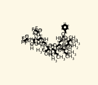 CC[C@H](C)[C@H](NC(=O)[C@@H](CCNC(=O)OCc1ccccc1)NC(=O)[C@H](CC(C)C)NC(=O)[C@@H](N)[C@H](O)C(C)C)C(=O)N[C@H](C(=O)NCC(=O)N[C@@H](COC(=O)C(F)(F)F)C(=O)N[C@@H](COC(=O)C(F)(F)F)C(=O)O)[C@H](C)O